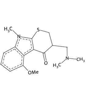 COc1cccc2c1c1c(n2C)SCC(CN(C)C)C1=O